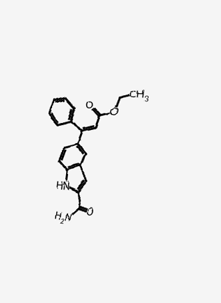 CCOC(=O)C=C(c1ccccc1)c1ccc2[nH]c(C(N)=O)cc2c1